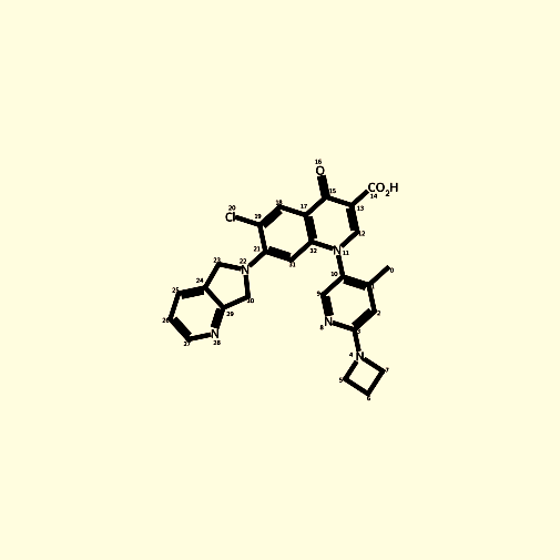 Cc1cc(N2CCC2)ncc1-n1cc(C(=O)O)c(=O)c2cc(Cl)c(N3Cc4cccnc4C3)cc21